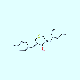 C=C\C=C/C(/C=C1\CSC/C(=C\C(C=C)=C\C=C)C1=O)=C\C